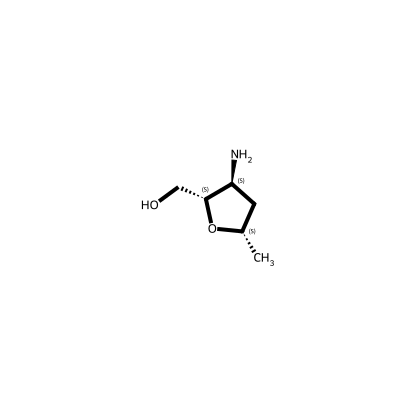 C[C@H]1C[C@H](N)[C@@H](CO)O1